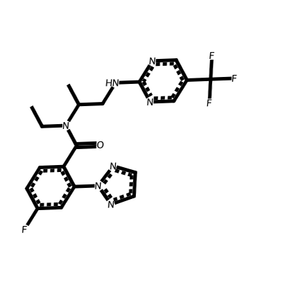 CCN(C(=O)c1ccc(F)cc1-n1nccn1)C(C)CNc1ncc(C(F)(F)F)cn1